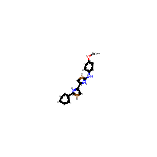 CCCCCCCCOc1ccc(Nc2nc(-c3csc(-c4ccccc4)n3)cs2)cc1